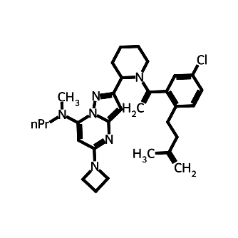 C=C(C)CCc1ccc(Cl)cc1C(=C)N1CCCCC1c1cc2nc(N3CCC3)cc(N(C)CCC)n2n1